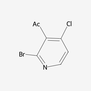 CC(=O)c1c(Cl)ccnc1Br